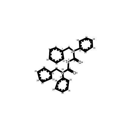 O=C([Te]C(=O)N(Cc1ccccc1)c1ccccc1)N(Cc1ccccc1)c1ccccc1